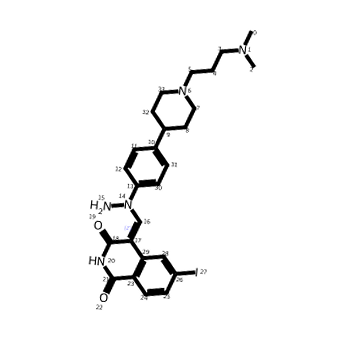 CN(C)CCCN1CCC(c2ccc(N(N)/C=C3\C(=O)NC(=O)c4ccc(I)cc43)cc2)CC1